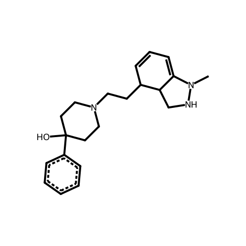 CN1NCC2C1=CC=CC2CCN1CCC(O)(c2ccccc2)CC1